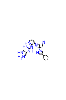 N#CCC1(n2cc(C3CCCCC3)cn2)CN(c2ccc[nH]/c2=N\C(=N)N/C(C=N)=C/N)C1